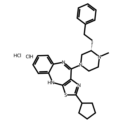 CN1CCN(C2=Nc3ccccc3Nc3sc(C4CCCC4)nc32)C[C@@H]1CCc1ccccc1.Cl.Cl